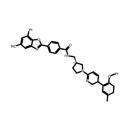 CC1=CC(C2C=CC(N3CC[C@@H](CNC(=O)c4ccc(-c5nc6cc(C#N)cc(C(C)C)c6o5)cc4)C3)=NC2)=C(OC(C)C)CC1